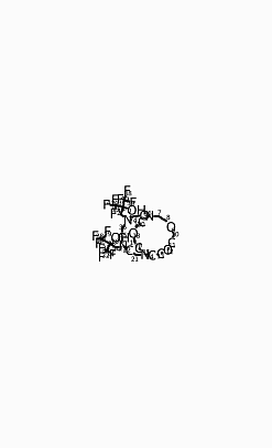 OC(CN1CCN2CCOCCOCCN(CCOCC2)CCN(CC(O)(C(F)(F)F)C(F)(F)F)CC1)(C(F)(F)F)C(F)(F)F